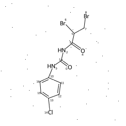 O=C(NC(=O)C(Br)CBr)Nc1ccc(Cl)cc1